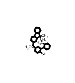 Cc1ccccc1-c1cc([C@H](C)c2ccc3c(c2)C(C)(C)c2ccccc2-3)ccc1S